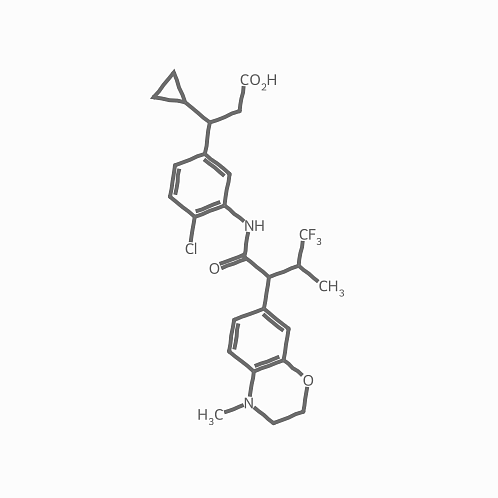 CC(C(C(=O)Nc1cc(C(CC(=O)O)C2CC2)ccc1Cl)c1ccc2c(c1)OCCN2C)C(F)(F)F